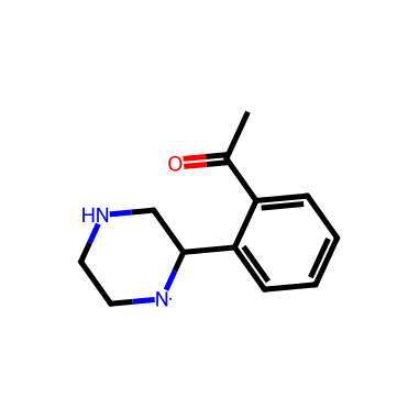 CC(=O)c1ccccc1C1CNCC[N]1